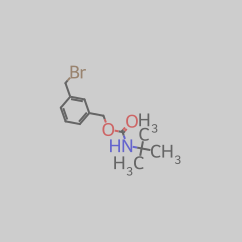 CC(C)(C)NC(=O)OCc1cccc(CBr)c1